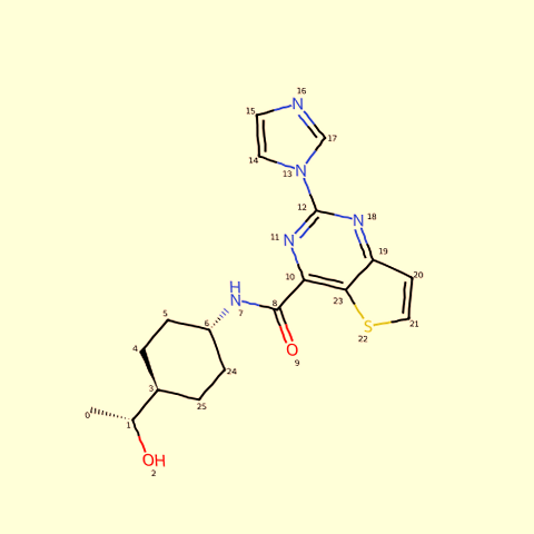 C[C@@H](O)[C@H]1CC[C@H](NC(=O)c2nc(-n3ccnc3)nc3ccsc23)CC1